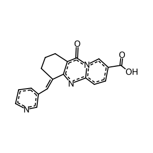 O=C(O)c1ccc2nc3c(c(=O)n2c1)CCCC3=Cc1cccnc1